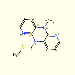 CSCN1c2cccnc2N(C)c2cccnc21